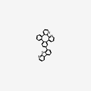 c1ccc2c(c1)-c1ccc(-c3cccc4c3sc3ncccc34)cc1-c1cccnc1-c1ncccc1-2